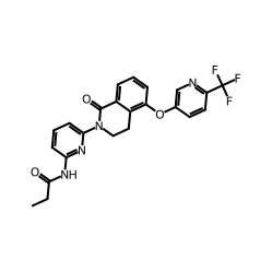 CCC(=O)Nc1cccc(N2CCc3c(Oc4ccc(C(F)(F)F)nc4)cccc3C2=O)n1